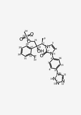 C[C@@H](n1ccn(-c2ccc(-n3cnnn3)cc2)c1=O)[C@@](O)(COS(C)(=O)=O)c1ccccc1F